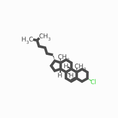 CC(C)CCCC[C@H]1CC[C@H]2[C@@H]3CC=C4C[C@@H](Cl)CC[C@]4(C)[C@H]3CC[C@]12C